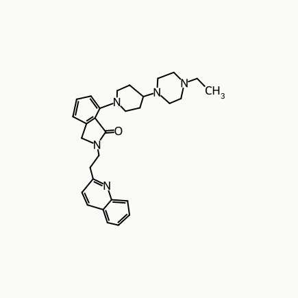 CCN1CCN(C2CCN(c3cccc4c3C(=O)N(CCc3ccc5ccccc5n3)C4)CC2)CC1